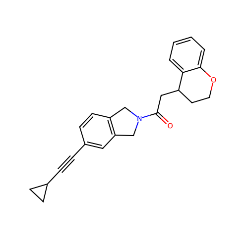 O=C(CC1CCOc2ccccc21)N1Cc2ccc(C#CC3CC3)cc2C1